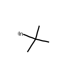 C[C](C)(C)[In]